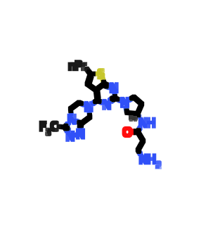 CCCc1cc2c(N3CCn4c(nnc4C(F)(F)F)C3)nc(N3CC[C@H](NC(=O)CCN)C3)nc2s1